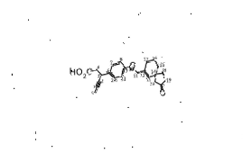 CC#C[C@@H](CC(=O)O)c1ccc(OCC2=C[C@]3(CCC2)CCC(=O)C3)cc1